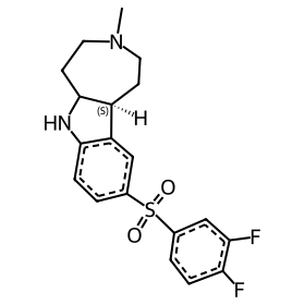 CN1CCC2Nc3ccc(S(=O)(=O)c4ccc(F)c(F)c4)cc3[C@@H]2CC1